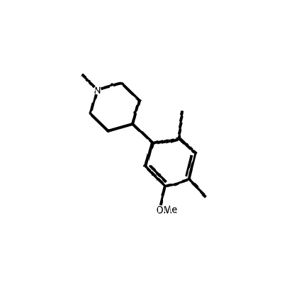 COC1=CC(C2CCN(C)CC2)C(C)C=C1C